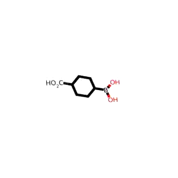 O=C(O)C1CCC(B(O)O)CC1